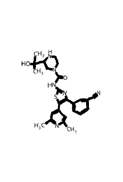 Cc1cc(-c2sc(NC(=O)N3CCNC(C(C)(C)O)C3)nc2-c2cccc(C#N)c2)cc(C)n1